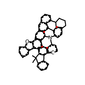 CC1(C)c2ccccc2-c2ccc(-c3ccccc3N(c3ccccc3-c3ccc4oc5ccccc5c4c3)c3ccccc3-c3cccc4cccc(C5CCCCC5)c34)cc21